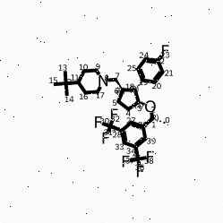 C[C@@H](O[C@H]1CC[C@@H](CN2CCC(C(C)(C)C)CC2)[C@@H]1c1ccc(F)cc1)c1cc(C(F)(F)F)cc(C(F)(F)F)c1